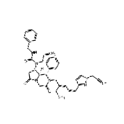 C#CCn1ccc(/C=C\C=C(/CC)CN2C(=O)CN3C(=O)CN(N(CC=C)C(=O)NCc4ccccc4)[C@H]3[C@@H]2c2ccccc2)n1